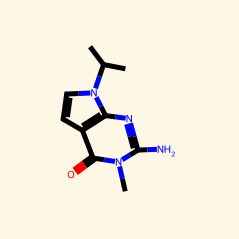 CC(C)n1ccc2c(=O)n(C)c(N)nc21